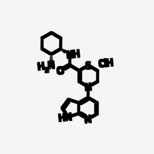 Cl.N[C@@H]1CCCC[C@@H]1NC(=O)C1=CN(c2ccnc3[nH]ccc23)CCS1